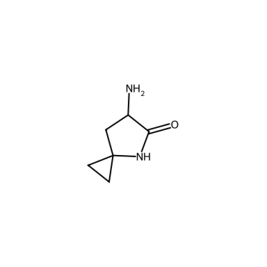 NC1CC2(CC2)NC1=O